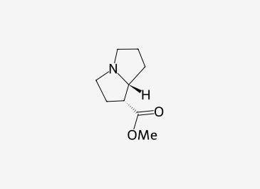 COC(=O)[C@@H]1CCN2CCC[C@H]12